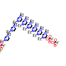 CCn1cc[n+](CC)c1.CCn1cc[n+](CC)c1.CCn1cc[n+](CC)c1.CCn1cc[n+](CC)c1.CCn1cc[n+](CC)c1.CCn1cc[n+](CC)c1.CCn1cc[n+](CC)c1.CCn1cc[n+](CC)c1.O=P([O-])([O-])F.O=P([O-])([O-])F.O=P([O-])([O-])F.O=P([O-])([O-])F